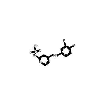 CC(C)S(=O)(=O)Nc1cc(CNc2ccc(F)c(F)c2)ccn1